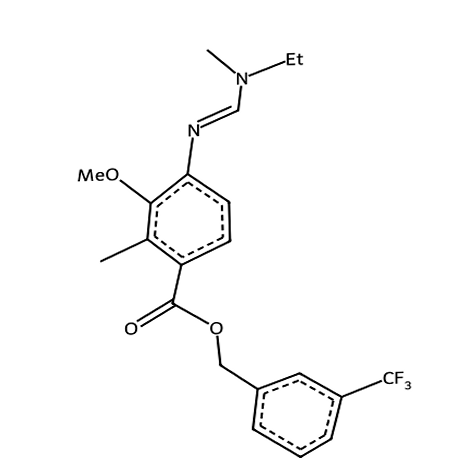 CCN(C)/C=N/c1ccc(C(=O)OCc2cccc(C(F)(F)F)c2)c(C)c1OC